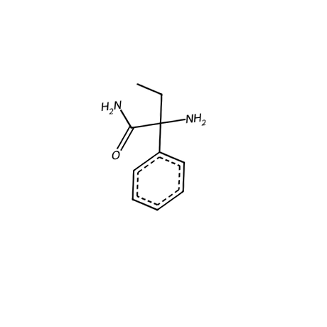 CCC(N)(C(N)=O)c1ccccc1